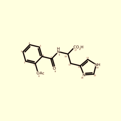 CC(=O)Oc1ccccc1C(=O)NC(Cc1c[nH]cn1)C(=O)O